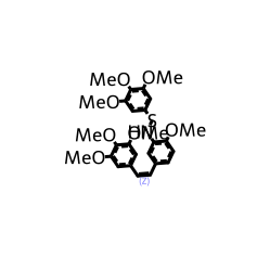 COc1ccc(/C=C\c2cc(OC)c(OC)c(OC)c2)cc1NSc1cc(OC)c(OC)c(OC)c1